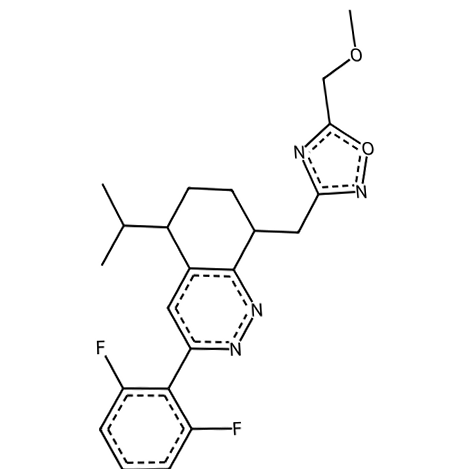 COCc1nc(CC2CCC(C(C)C)c3cc(-c4c(F)cccc4F)nnc32)no1